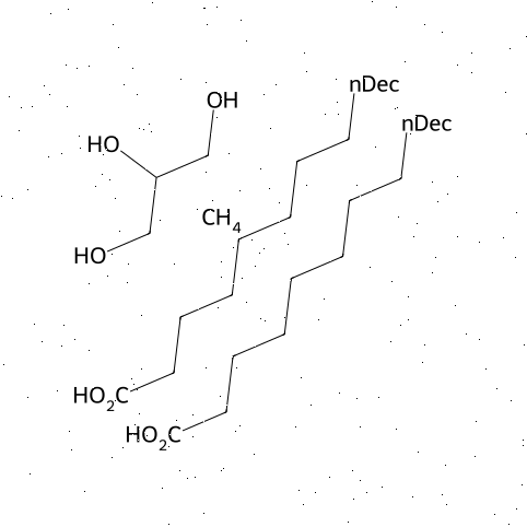 C.CCCCCCCCCCCCCCCCCC(=O)O.CCCCCCCCCCCCCCCCCC(=O)O.OCC(O)CO